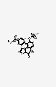 CC(=O)Oc1ccc2[nH]c(=O)c3sccc3c2c1-c1ccc(C(C)N)cc1.Cl